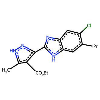 CCOC(=O)c1c(-c2nc3cc(Cl)c(C(C)C)cc3[nH]2)n[nH]c1C